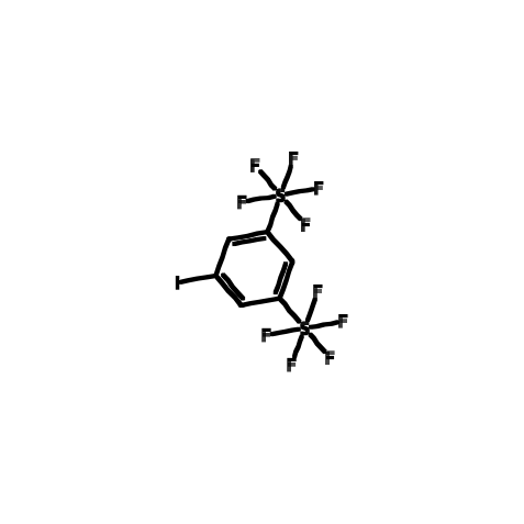 FS(F)(F)(F)(F)c1cc(I)cc(S(F)(F)(F)(F)F)c1